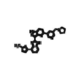 Cc1ccc(-c2cccc3[nH]c(-c4n[nH]c5ccc(-c6cncc(CN7CCCC7)c6)nc45)nc23)s1